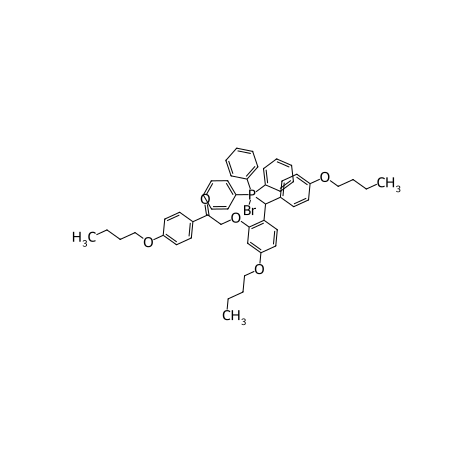 CCCCOc1ccc(C(=O)COc2cc(OCCCC)ccc2C(c2ccc(OCCCC)cc2)P(Br)(c2ccccc2)(c2ccccc2)c2ccccc2)cc1